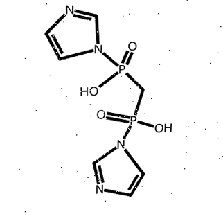 O=P(O)(CP(=O)(O)n1ccnc1)n1ccnc1